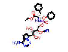 CCOC(=O)[C@H](Cc1ccccc1)NP(=O)(OC[C@@H](OC#N)[C@@H](O)[C@@H](O)c1ccc2c(N)ncnn12)Oc1ccccc1